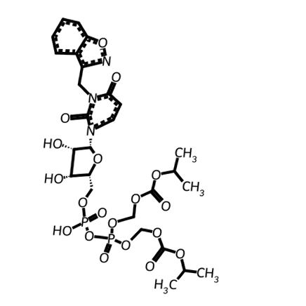 CC(C)OC(=O)OCOP(=O)(OCOC(=O)OC(C)C)OP(=O)(O)OC[C@H]1O[C@@H](n2ccc(=O)n(Cc3noc4ccccc34)c2=O)[C@@H](O)[C@H]1O